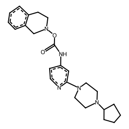 O=C(Nc1ccnc(N2CCN(C3CCCC3)CC2)c1)ON1CCc2ccccc2C1